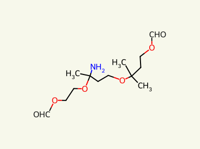 CC(C)(CCOC=O)OCCC(C)(N)OCCOC=O